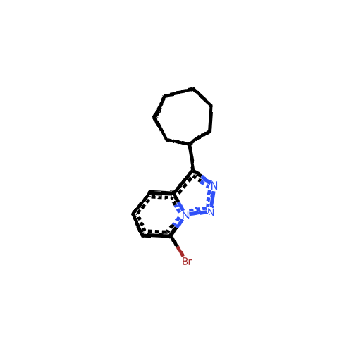 Brc1cccc2c(C3CCCCCC3)nnn12